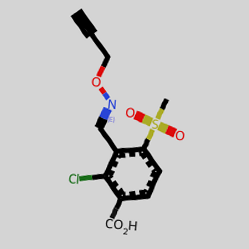 C#CCO/N=C/c1c(S(C)(=O)=O)ccc(C(=O)O)c1Cl